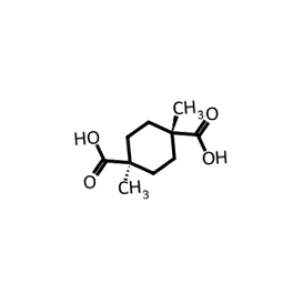 C[C@]1(C(=O)O)CC[C@](C)(C(=O)O)CC1